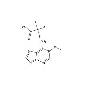 COn1cnc2ncnc-2c1N.O=C(O)C(F)(F)F